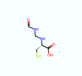 O=CNCN[C@@H](CS)C(=O)O